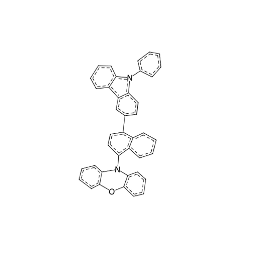 c1ccc(-n2c3ccccc3c3cc(-c4ccc(N5c6ccccc6Oc6ccccc65)c5ccccc45)ccc32)cc1